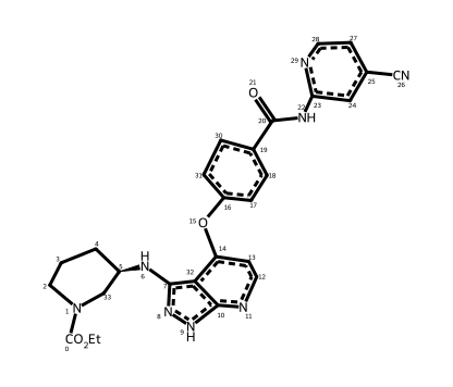 CCOC(=O)N1CCC[C@@H](Nc2n[nH]c3nccc(Oc4ccc(C(=O)Nc5cc(C#N)ccn5)cc4)c23)C1